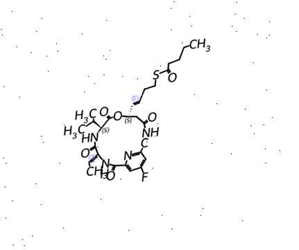 C/C=C1\NC(=O)c2cc(F)cc(n2)CNC(=O)C[C@@H](/C=C/CCSC(=O)CCCC)OC(=O)[C@H](C(C)C)NC1=O